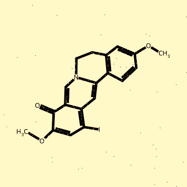 COc1ccc2c(c1)CCn1cc3c(=O)c(OC)cc(I)c-3cc1-2